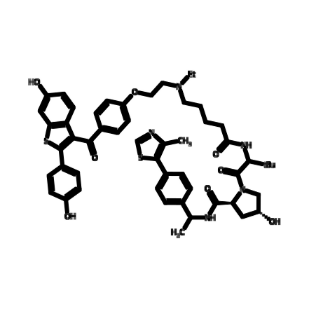 CCN(CCCCC(=O)NC(C(=O)N1C[C@H](O)C[C@H]1C(=O)NC(C)c1ccc(-c2scnc2C)cc1)C(C)(C)C)CCOc1ccc(C(=O)c2c(-c3ccc(O)cc3)sc3cc(O)ccc23)cc1